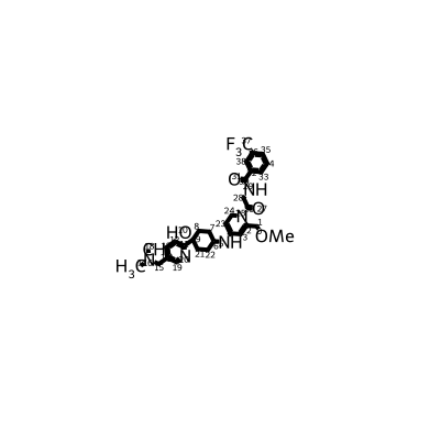 COCC1=CC(NC2CCC(O)(c3ccc(CN(C)C)cn3)CC2)=CCN1C(=O)CNC(=O)c1cccc(C(F)(F)F)c1